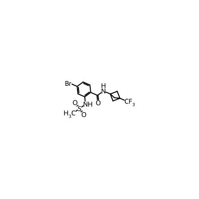 CS(=O)(=O)Nc1cc(Br)ccc1C(=O)NC12CC(C(F)(F)F)(C1)C2